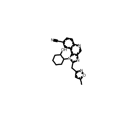 Cc1cc(Cc2nc3cnc4ccc(C#N)cc4c3n2C2CCCCC2O)no1